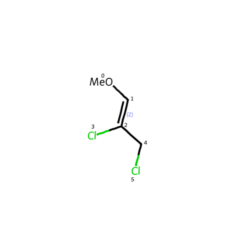 CO/C=C(\Cl)CCl